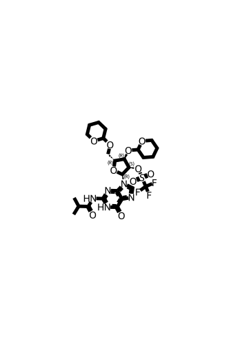 CC(C)C(=O)Nc1nc2c(ncn2[C@@H]2O[C@H](COC3CCCCO3)[C@@H](OC3CCCCO3)[C@@H]2OS(=O)(=O)C(F)(F)F)c(=O)[nH]1